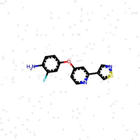 Nc1ccc(Oc2ccnc(-c3cnsc3)c2)cc1F